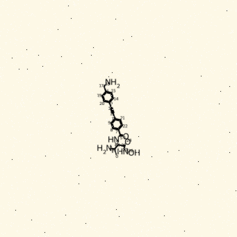 C[C@@H](N)[C@H](NC(=O)c1ccc(C#Cc2ccc(CN)cc2)cc1)C(=O)NO